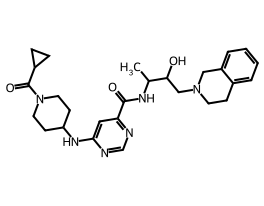 CC(NC(=O)c1cc(NC2CCN(C(=O)C3CC3)CC2)ncn1)C(O)CN1CCc2ccccc2C1